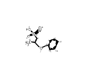 CC(CS(=O)(=O)O)Oc1ccccc1